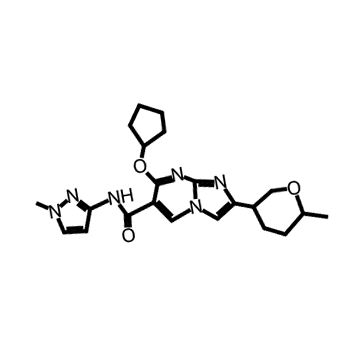 CC1CCC(c2cn3cc(C(=O)Nc4ccn(C)n4)c(OC4CCCC4)nc3n2)CO1